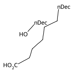 CCCCCCCCCCCCCCCC(=O)O.CCCCCCCCCCO